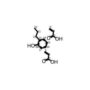 C=CC(=O)O.C=CC(=O)O.CCCc1ccccc1O